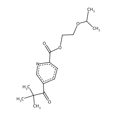 CC(C)OCCOC(=O)c1ccc(C(=O)C(C)(C)C)cn1